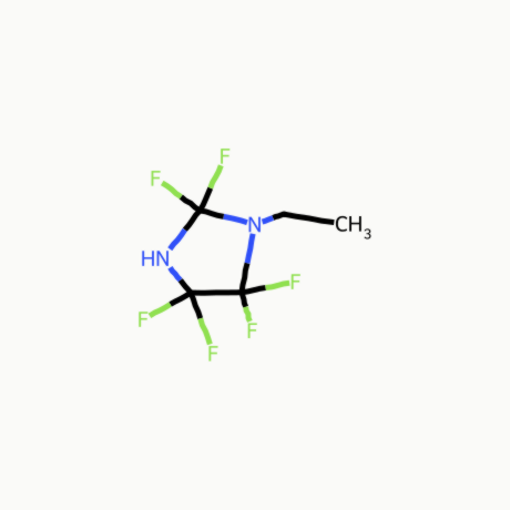 CCN1C(F)(F)NC(F)(F)C1(F)F